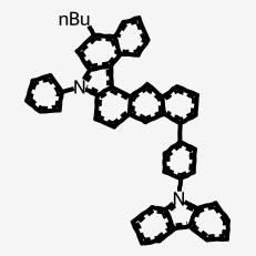 CCCCc1cc2c(c3ccccc13)c1c3cc4cccc(-c5ccc(-n6c7ccccc7c7ccccc76)cc5)c4cc3ccc1n2-c1ccccc1